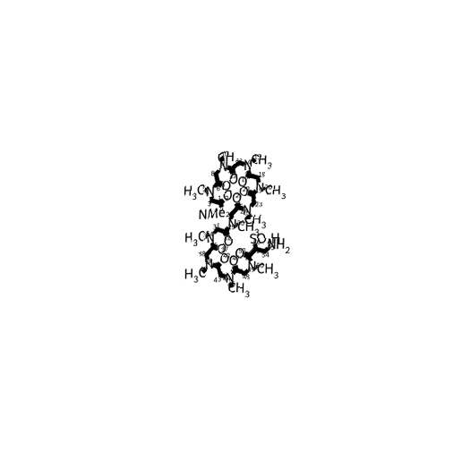 CNC(=O)CN(C)C(=O)CN(C)C(=O)CN(C)C(=O)CN(C)C(=O)CN(C)C(=O)CN(C)C(=O)CN(C)C(=O)CN(C)C(=O)CN(C)C(=O)CN(C)C(=O)C(CN)S(=O)(=O)O